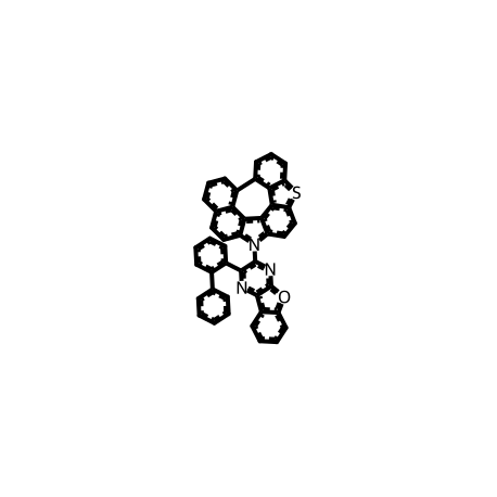 c1ccc(-c2ccccc2-c2nc3c(nc2-n2c4ccc5cccc6c5c4c4c5c(ccc42)sc2cccc-6c25)oc2ccccc23)cc1